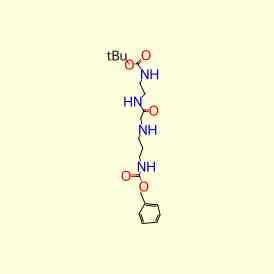 CC(C)(C)OC(=O)NCCNC(=O)CNCCCNC(=O)OCc1ccccc1